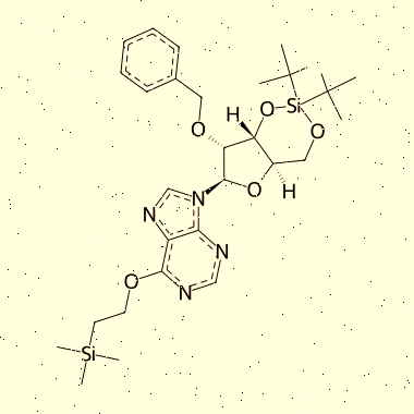 CC(C)(C)[Si]1(C(C)(C)C)OC[C@H]2O[C@@H](n3cnc4c(OCC[Si](C)(C)C)ncnc43)[C@H](OCc3ccccc3)[C@@H]2O1